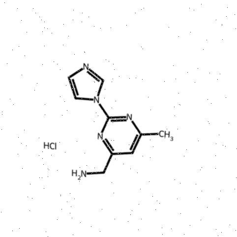 Cc1cc(CN)nc(-n2ccnc2)n1.Cl